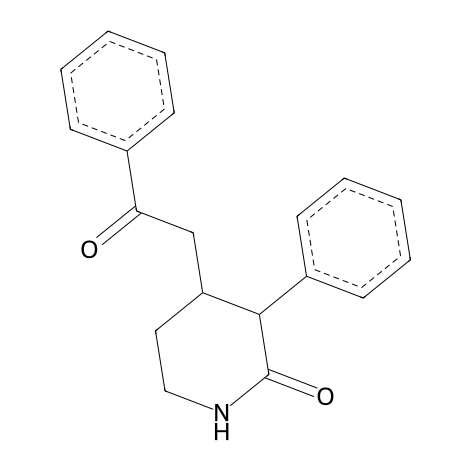 O=C(CC1CCNC(=O)C1c1ccccc1)c1ccccc1